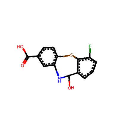 O=C(O)c1ccc2c(c1)NC(O)c1cccc(F)c1S2